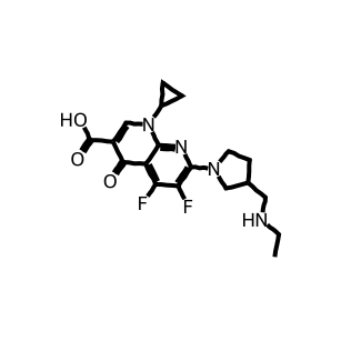 CCNCC1CCN(c2nc3c(c(F)c2F)c(=O)c(C(=O)O)cn3C2CC2)C1